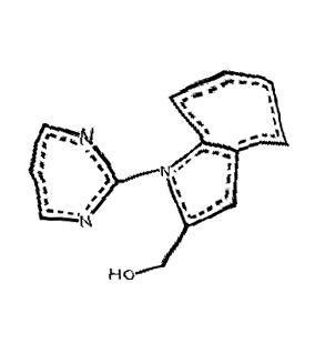 OCc1cc2ccccc2n1-c1ncccn1